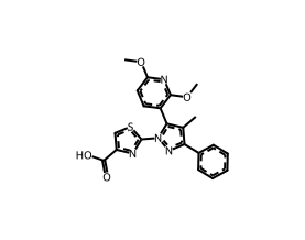 COc1ccc(-c2c(C)c(-c3ccccc3)nn2-c2nc(C(=O)O)cs2)c(OC)n1